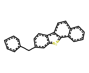 c1ccc(Cc2ccc3c(c2)sc2c4ccccc4ccc32)cc1